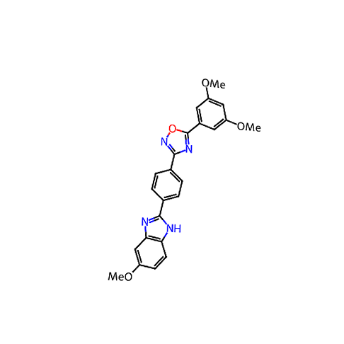 COc1cc(OC)cc(-c2nc(-c3ccc(-c4nc5cc(OC)ccc5[nH]4)cc3)no2)c1